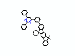 CC1(C)c2ccccc2-c2cc3c(cc21)-c1ccc(-c2cccc(-c4cc(-c5ccccc5)nc(-c5ccccc5)n4)c2)cc1C31CCCCC1